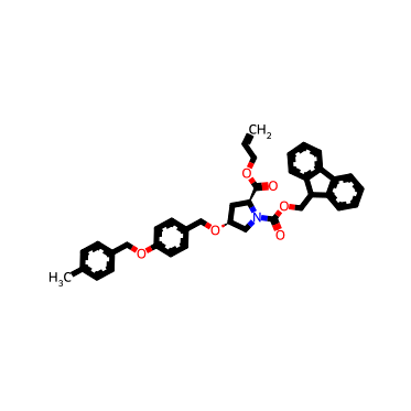 C=CCOC(=O)[C@@H]1C[C@@H](OCc2ccc(OCc3ccc(C)cc3)cc2)CN1C(=O)OCC1c2ccccc2-c2ccccc21